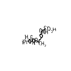 Cc1cc(OCC(C)CCc2ccc(C(=O)NCCC(=O)O)cc2)cnc1-c1ccc(C(C)C)cc1